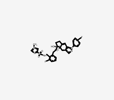 Cn1cnc(S(=O)(=O)NCc2c(F)cccc2CC[C@]2(O)CCC3=Cc4c(cnn4-c4ccc(F)cc4)C[C@@]32C)c1